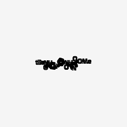 COC(=O)c1cncc(C(=O)Nc2cccc(CN3CCC(C(=O)NC(C)(C)C)CC3)c2)c1